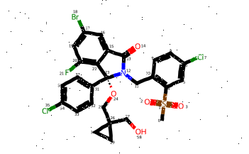 CS(=O)(=O)c1cc(Cl)ccc1CN1C(=O)c2cc(Br)cc(F)c2[C@]1(OCC1(CO)CC1)c1ccc(Cl)cc1